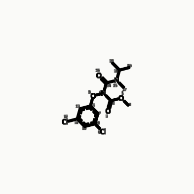 COC(=O)N(Oc1cc(Cl)cc(Cl)c1)C(=O)N(C)C(C)C